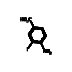 O=C(O)c1ccc([N+](=O)[O-])c(I)c1